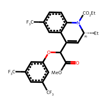 CCOC(=O)N1c2ccc(C(F)(F)F)cc2C(C(Oc2cc(C(F)(F)F)cc(C(F)(F)F)c2)C(=O)OC)=C[C@H]1CC